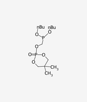 CCCCOP(COP1(=O)OCC(C)(C)CO1)OCCCC